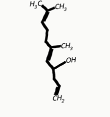 C=CCC(O)/C=C(\C)CCC=C(C)C